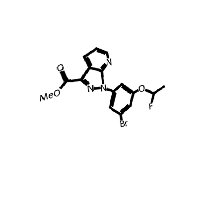 COC(=O)c1nn(-c2cc(Br)cc(OC(C)F)c2)c2ncccc12